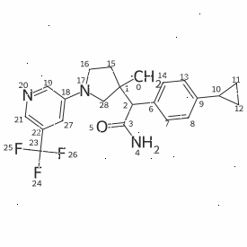 [CH2]C1(C(C(N)=O)c2ccc(C3CC3)cc2)CCN(c2cncc(C(F)(F)F)c2)C1